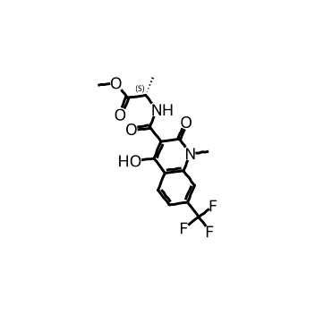 COC(=O)[C@H](C)NC(=O)c1c(O)c2ccc(C(F)(F)F)cc2n(C)c1=O